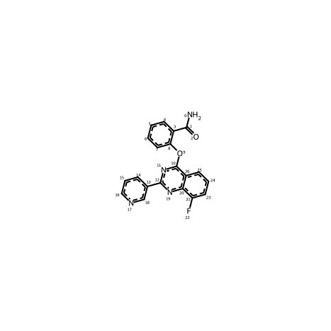 NC(=O)c1ccccc1Oc1nc(-c2cccnc2)nc2c(F)cccc12